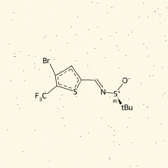 CC(C)(C)[S@+]([O-])N=Cc1cc(Br)c(C(F)(F)F)s1